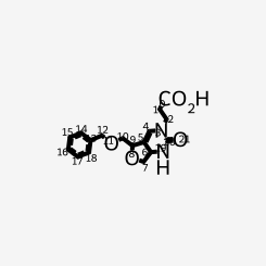 O=C(O)CCN1C=C2C(COC2COCc2ccccc2)NC1=O